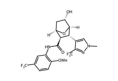 COc1ccc(C(F)(F)F)cc1NC(=O)[C@@H]1[C@@H](c2cn(C)nc2C(F)(F)F)[C@H]2O[C@@H]1C[C@@H]2O